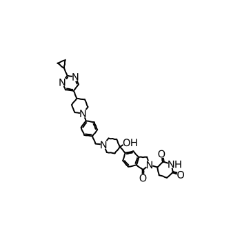 O=C1CCC(N2Cc3cc(C4(O)CCN(Cc5ccc(N6CCC(c7cnc(C8CC8)nc7)CC6)cc5)CC4)ccc3C2=O)C(=O)N1